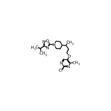 Cc1nc(Cl)ncc1OCCC(C)C1CCN(c2nc(C(C)C)no2)CC1